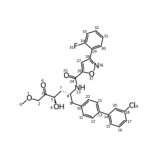 COCC(=O)[C@H](O)C[C@@H](Cc1ccc(-c2cccc(Cl)c2)cc1)NC(=O)c1cc(-c2ccccc2F)no1